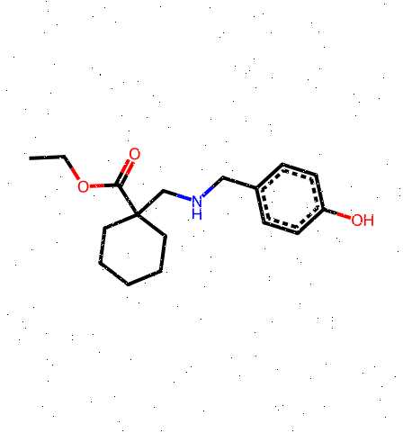 CCOC(=O)C1(CNCc2ccc(O)cc2)CCCCC1